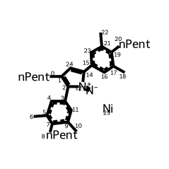 CCCCCC1=C(c2cc(C)c(CCCCC)c(C)c2)[N+](=[N-])C(c2cc(C)c(CCCCC)c(C)c2)=C1.[Ni]